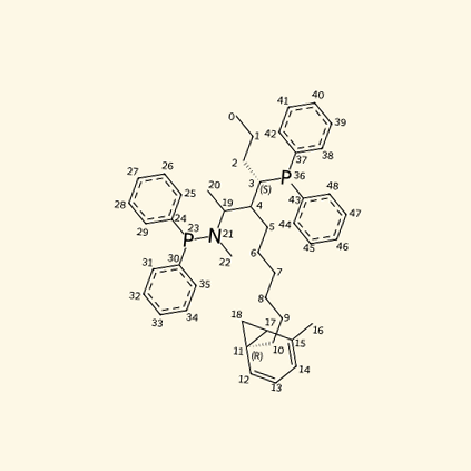 CCC[C@@H](C(CCCCCC[C@@]12C=CC=C(C)C1C2)C(C)N(C)P(c1ccccc1)c1ccccc1)P(c1ccccc1)c1ccccc1